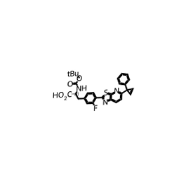 CC(C)(C)OC(=O)N[C@H](Cc1ccc(-c2nc3ccc(C4(c5ccccc5)C=C4)nc3s2)c(F)c1)C(=O)O